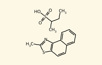 CCC(C)S(=O)(=O)O.Cc1nc2c(ccc3ccccc32)s1